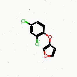 Clc1ccc(Oc2ccoc2)c(Cl)c1